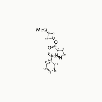 CO[C@H]1C[C@@H](OC(=O)c2ccnn2[C@H](C)c2ccccc2)C1